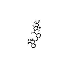 CC1(F)C[C@H]2CN(C(=O)c3cc(Cc4n[nH]c(=O)c5ccccc45)ccc3F)C[C@H]2C1